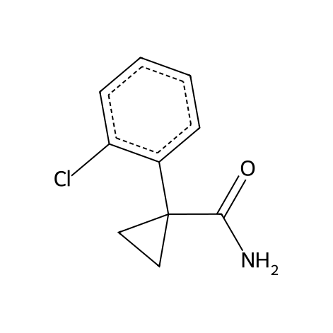 NC(=O)C1(c2ccccc2Cl)CC1